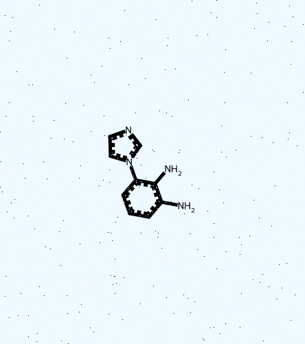 Nc1cccc(-n2ccnc2)c1N